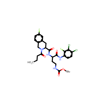 CC(C)(C)OC(=O)NCCC(NC(=O)C1Cc2cc(F)ccc2CN1C(=O)CCC(=O)O)C(=O)Nc1ccc(Cl)c(Cl)c1F